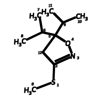 CSC1=NOC(C(C)C)(C(C)C)C1